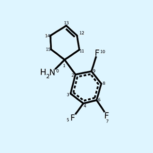 NC1(c2cc(F)c(F)cc2F)CC=CCC1